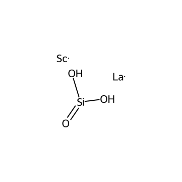 O=[Si](O)O.[La].[Sc]